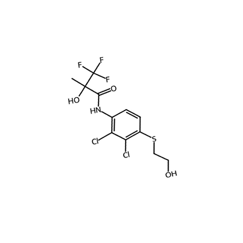 CC(O)(C(=O)Nc1ccc(SCCO)c(Cl)c1Cl)C(F)(F)F